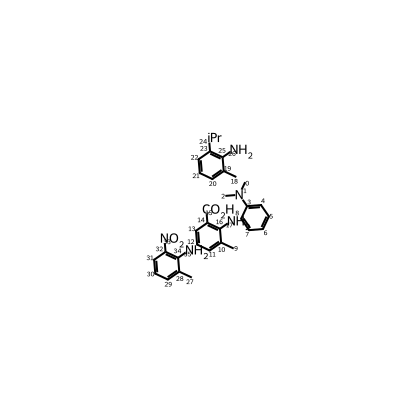 CN(C)c1ccccc1.Cc1cccc(C(=O)O)c1N.Cc1cccc(C(C)C)c1N.Cc1cccc([N+](=O)[O-])c1N